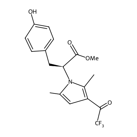 COC(=O)[C@H](Cc1ccc(O)cc1)n1c(C)cc(C(=O)C(F)(F)F)c1C